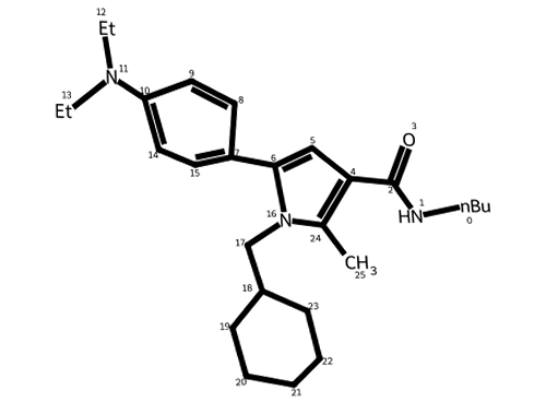 CCCCNC(=O)c1cc(-c2ccc(N(CC)CC)cc2)n(CC2CCCCC2)c1C